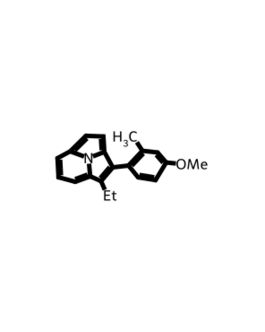 CCc1c(-c2ccc(OC)cc2C)c2ccc3cccc1n32